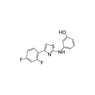 Oc1cccc(Nc2nc(-c3ccc(F)cc3F)cs2)c1